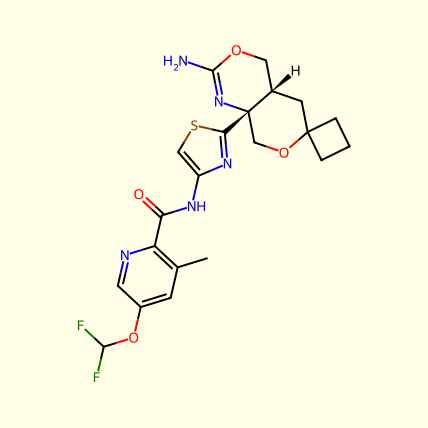 Cc1cc(OC(F)F)cnc1C(=O)Nc1csc([C@]23COC4(CCC4)C[C@H]2COC(N)=N3)n1